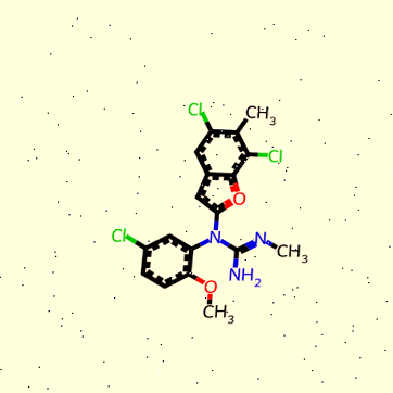 CN=C(N)N(c1cc2cc(Cl)c(C)c(Cl)c2o1)c1cc(Cl)ccc1OC